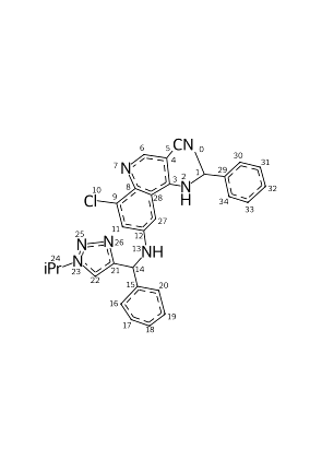 CC(Nc1c(C#N)cnc2c(Cl)cc(NC(c3ccccc3)c3cn(C(C)C)nn3)cc12)c1ccccc1